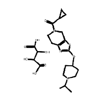 CC(C)N1CCC(Oc2nc3c(s2)CN(C(=O)C2CC2)CC3)CC1.O=C(O)C(O)C(O)C(=O)O